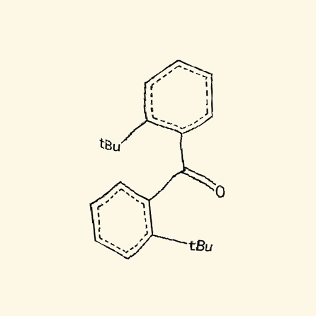 CC(C)(C)c1ccccc1C(=O)c1ccccc1C(C)(C)C